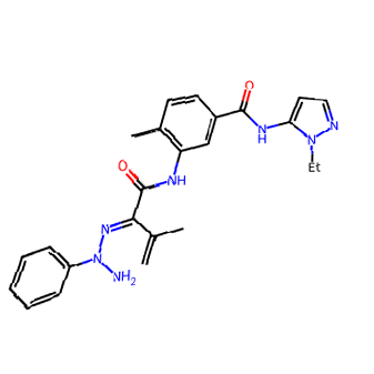 C=C(C)/C(=N\N(N)c1ccccc1)C(=O)Nc1cc(C(=O)Nc2ccnn2CC)ccc1C